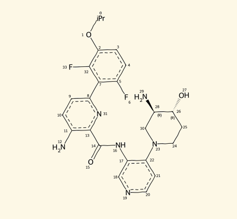 CC(C)Oc1ccc(F)c(-c2ccc(N)c(C(=O)Nc3cnccc3N3CC[C@@H](O)[C@H](N)C3)n2)c1F